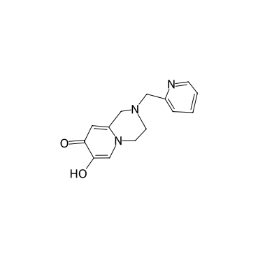 O=c1cc2n(cc1O)CCN(Cc1ccccn1)C2